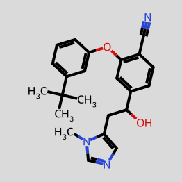 Cn1cncc1CC(O)c1ccc(C#N)c(Oc2cccc(C(C)(C)C)c2)c1